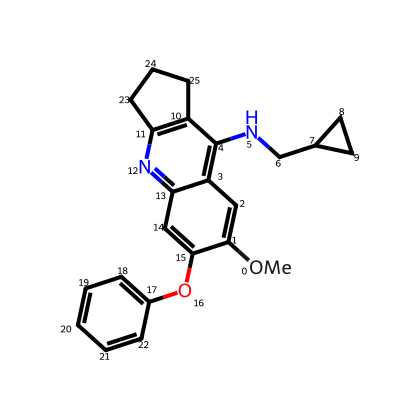 COc1cc2c(NCC3CC3)c3c(nc2cc1Oc1ccccc1)CCC3